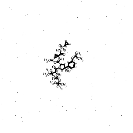 C=C[C@@H]1C[C@]1(NC(=O)[C@@H]1C[C@@](O)(c2cccc(OC(C)C)c2)CN1C(=O)[C@@H](NC(=O)OC(C)(C)C)C(C)(C)C)C(=O)NS(=O)(=O)C1CC1